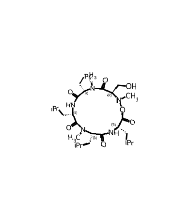 CC(C)C[C@@H]1NC(=O)[C@H](CC(C)C)N(C)C(=O)[C@H](CC(C)C)NC(=O)[C@H](CC(C)C)N(C)C(=O)[C@@H](CO)N(C)OC1=O